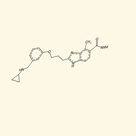 CNC(=O)c1ccc2[nH]c(CCCOc3cccc(CNC4CC4)c3)nc2c1C